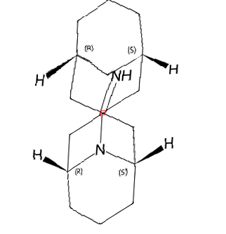 N=C1C[C@H]2CCC[C@@H](C1)N2C1C[C@H]2CCC[C@@H](C1)C2